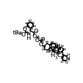 CC(C)(C)OC(=O)NC(C(=O)OCOC(=O)O[C@H]1CC[C@@]2(C)C(=CC[C@@H]3[C@@H]2CC[C@]2(C)C(c4cccnc4)=CC[C@@H]32)C1)c1ccccc1